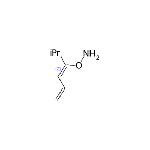 C=C/C=C(\ON)C(C)C